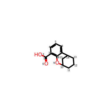 O=C(O)c1cccc2c1OC1CCCC2C1